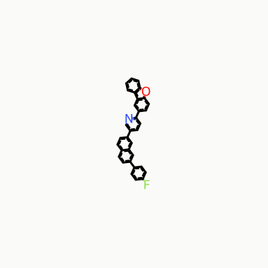 Fc1ccc(-c2ccc3ccc(-c4ccc(-c5ccc6oc7ccccc7c6c5)nc4)cc3c2)cc1